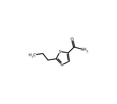 CCCc1ncc(C(N)=O)s1